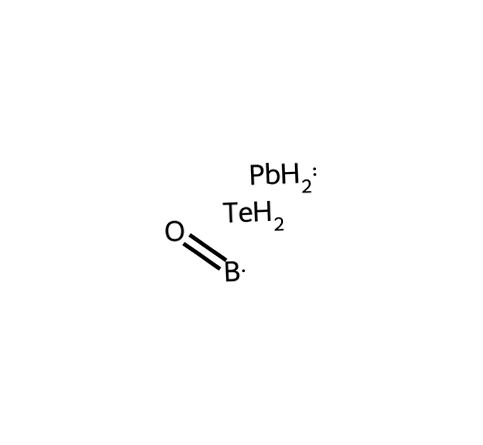 [B]=O.[PbH2].[TeH2]